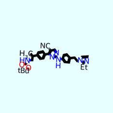 CCc1nccn1CCc1ccc(Nc2ncc(C#N)c(-c3ccc(C(C)CNC(=O)OC(C)(C)C)cc3)n2)cc1